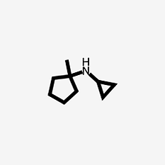 CC1(NC2CC2)CCCC1